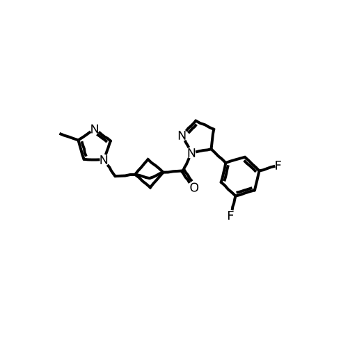 Cc1cn(CC23CC(C(=O)N4N=CCC4c4cc(F)cc(F)c4)(C2)C3)cn1